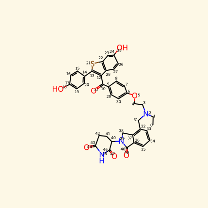 CCN(CCOc1ccc(C(=O)c2c(-c3ccc(O)cc3)sc3cc(O)ccc23)cc1)Cc1cccc2c1CN(C1CCC(=O)NC1=O)C2=O